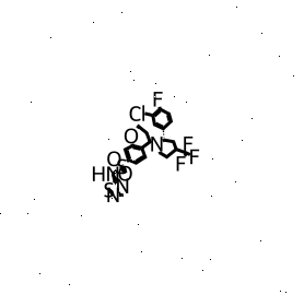 O=S(=O)(Nc1ncns1)c1ccc2c(c1)OCC[C@@H]2N1CCC(C(F)(F)F)C[C@H]1c1ccc(F)c(Cl)c1